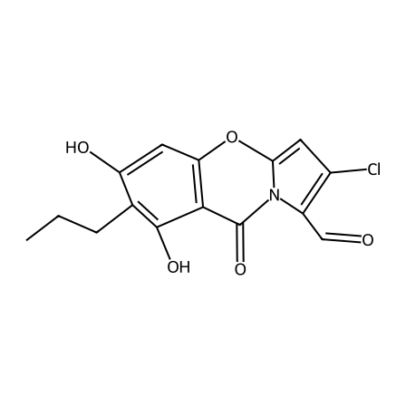 CCCc1c(O)cc2oc3cc(Cl)c(C=O)n3c(=O)c2c1O